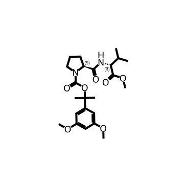 COC(=O)[C@H](NC(=O)[C@@H]1CCCN1C(=O)OC(C)(C)c1cc(OC)cc(OC)c1)C(C)C